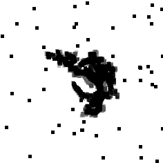 CC1(C)CN(Cc2ccnc(C(F)(F)F)c2)Cc2c(-c3[nH]c4ncccc4c3Cl)c3c(N)ncnc3n21